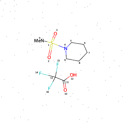 CNS(=O)(=O)N1CCCCC1.O=C(O)C(F)(F)F